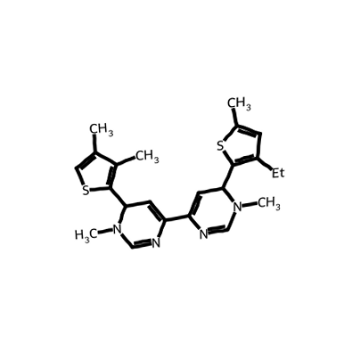 CCc1cc(C)sc1C1C=C(C2=CC(c3scc(C)c3C)N(C)C=N2)N=CN1C